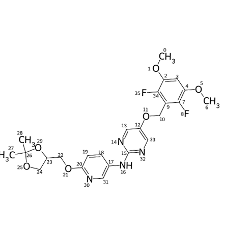 COc1cc(OC)c(F)c(COc2cnc(Nc3ccc(OCC4COC(C)(C)O4)nc3)nc2)c1F